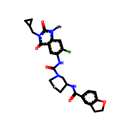 CC(C)n1c(=O)n(CC2CC2)c(=O)c2cc(NC(=O)N3CCCC(NC(=O)c4ccc5c(c4)CCO5)C3)c(F)cc21